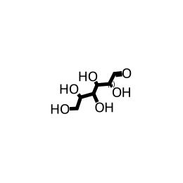 O=C[C@@H](O)C(O)C(O)C(O)CO